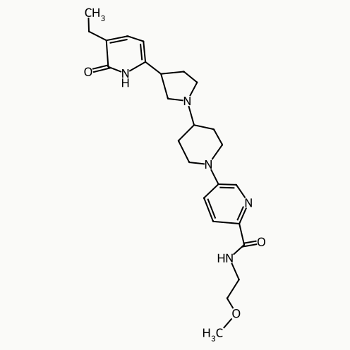 CCc1ccc(C2CCN(C3CCN(c4ccc(C(=O)NCCOC)nc4)CC3)C2)[nH]c1=O